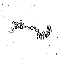 Cn1c(=O)n(C2CCC(=O)N(CNC(=O)CN)C2=O)c2cccc(C#CCOC3CCN(CC4CCC(n5cc(NC(=O)c6cnn7ccc(N8C[C@H]9C[C@@H]8CO9)nc67)c(C(F)F)n5)CC4)CC3)c21